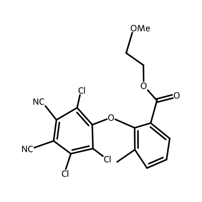 COCCOC(=O)c1cccc(C)c1Oc1c(Cl)c(Cl)c(C#N)c(C#N)c1Cl